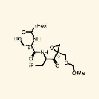 CCCCCCC(=O)N[C@@H](CO)C(=O)NC(CC(C)C)C(=O)[C@@]1(COCOC)CO1